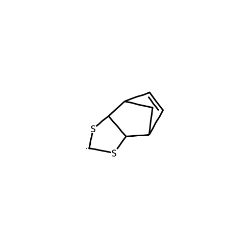 [CH]1SC2C3C=CC(C3)C2S1